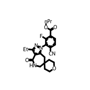 CCCOC(=O)c1ccc(C#N)c(-n2nc(CC)c3c2CC2(CCOCC2)CNC3=O)c1F